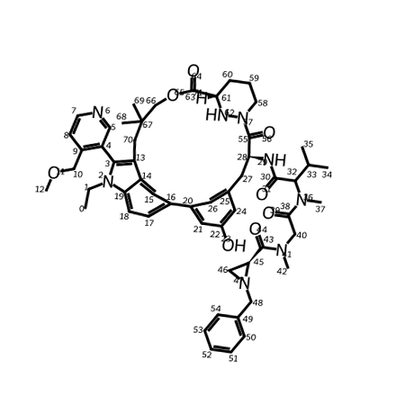 CCn1c(-c2cnccc2COC)c2c3cc(ccc31)-c1cc(O)cc(c1)C[C@H](NC(=O)C(C(C)C)N(C)C(=O)CN(C)C(=O)[C@@H]1CN1Cc1ccccc1)C(=O)N1CCC[C@H](N1)C(=O)OCC(C)(C)C2